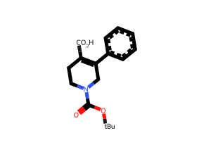 CC(C)(C)OC(=O)N1CCC(C(=O)O)=C(c2ccccc2)C1